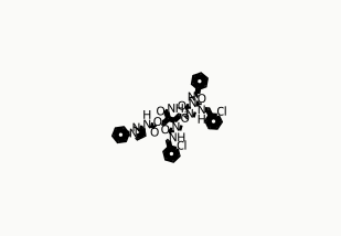 CN(OCC(C(COC(=O)Nc1ccn(-c2ccccc2)n1)C(N)=O)N(C)C(=O)NCc1ccccc1Cl)C(=O)N1N=C(c2ccccc2)OC1NCc1ccccc1Cl